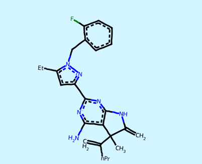 C=C(CCC)C1(C)C(=C)Nc2nc(-c3cc(CC)n(Cc4ccccc4F)n3)nc(N)c21